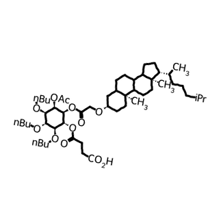 CCCCO[C@@H]1[C@@H](OCCCC)[C@@H](OC(C)=O)[C@@H](OC(=O)CO[C@H]2CC[C@@]3(C)C(CCC4C3CC[C@@]3(C)C4CC[C@@H]3C(C)CCCC(C)C)C2)[C@H](OC(=O)CCC(=O)O)[C@H]1OCCCC